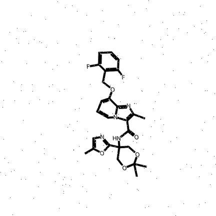 Cc1cnc(C2(NC(=O)c3c(C)nc4c(OCc5c(F)cccc5F)cccn34)COC(C)(C)OC2)o1